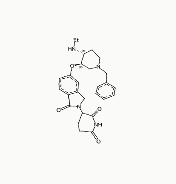 CCN[C@@H]1CCN(Cc2ccccc2)C[C@H]1Oc1ccc2c(c1)CN(C1CCC(=O)NC1=O)C2=O